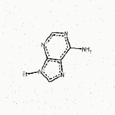 CCn1cnc2c(N)ncnc21